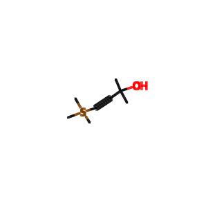 CC(C)(O)C#CS(C)(C)C